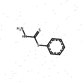 NNC(=S)Sc1ccccc1